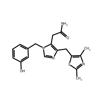 Cc1nc(C)c(Cc2ncn(Cc3cccc(O)c3)c2CC(N)=O)s1